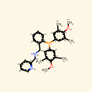 COc1c(C)cc(P(c2cc(C)c(OC)c(C)c2)c2ccccc2CNCc2ccccn2)cc1C